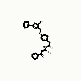 CCc1sc(-c2ccccc2)nc1COc1ccc(C[C@H](N/C(=C/C(=O)c2ccccc2)C(F)(F)F)C(=O)O)cc1